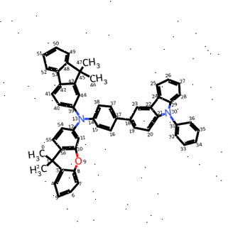 CC1(C)c2ccccc2Oc2cc(N(c3ccc(-c4ccc5c(c4)c4ccccc4n5-c4ccccc4)cc3)c3ccc4c(c3)C(C)(C)c3ccccc3-4)ccc21